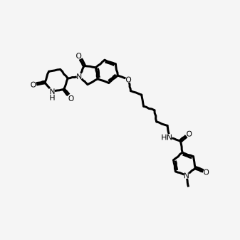 Cn1ccc(C(=O)NCCCCCCOc2ccc3c(c2)CN(C2CCC(=O)NC2=O)C3=O)cc1=O